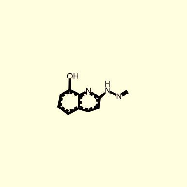 C=NNc1ccc2cccc(O)c2n1